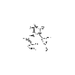 COc1ccc(-c2cc(=O)[nH]c(=S)n2CCN(C)C(=O)CN)c(OC)c1